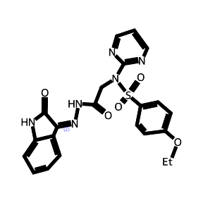 CCOc1ccc(S(=O)(=O)N(CC(=O)N/N=C2\C(=O)Nc3ccccc32)c2ncccn2)cc1